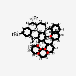 CB1c2cc(C(C)(C)C)ccc2N2c3c4c(c(-c5c(-c6ccccc6)cccc5-c5ccccc5)c(N(c5ccccc5C(F)(F)F)C(C)C)c31)Sc1ccccc1B4C=CC2[C@H](C)C(C)C